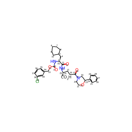 O=C(N[C@@H](CC1CCCCC1)C(=O)N[C@@H](CCC(=O)N1CCOC(c2ccccc2)C1)C(=O)O)OCc1cccc(Cl)c1